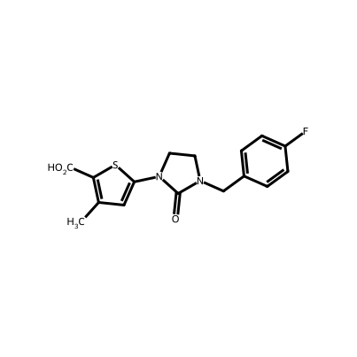 Cc1cc(N2CCN(Cc3ccc(F)cc3)C2=O)sc1C(=O)O